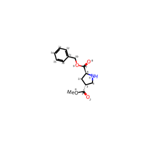 COC(=O)[C@H]1CN[C@H](C(=O)OCc2ccccc2)C1